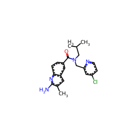 Cc1cc2cc(C(=O)N(Cc3cc(Cl)ccn3)CC(C)C)ccc2nc1N